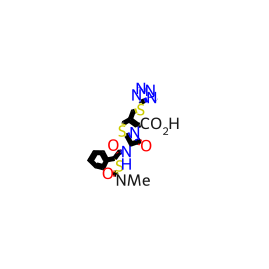 CNC(=O)SC(C(=O)N[C@H]1C(=O)N2C(C(=O)O)=C(CSc3nnnn3C)CSC12)c1ccccc1